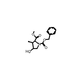 COC(=O)C1C(C)C(O)CN1C(=O)OCc1ccccc1